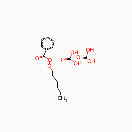 CCCCCCOOC(=O)c1ccccc1.O=C(O)O.O=C(O)O